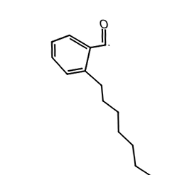 CCCCCCCc1ccccc1[C]=O